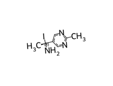 Cc1ncc([C@](C)(N)I)cn1